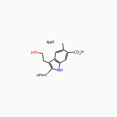 CCCCCc1[nH]c2cc(C(=O)O)c(C)cc2c1CCO.[NaH]